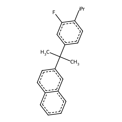 CC(C)c1ccc(C(C)(C)c2ccc3ccccc3c2)cc1F